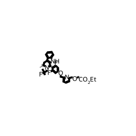 CCOC(=O)COCc1cccc(COc2cc(F)c([C@@H]3c4[nH]c5ccccc5c4C[C@@H](C)N3CC(C)(C)F)c(F)c2)n1